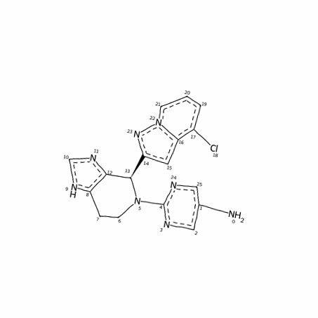 Nc1cnc(N2CCc3[nH]cnc3[C@H]2c2cc3c(Cl)cccn3n2)nc1